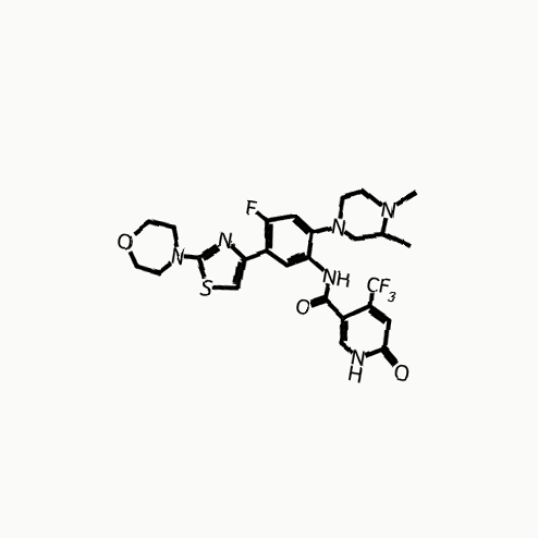 CC1CN(c2cc(F)c(-c3csc(N4CCOCC4)n3)cc2NC(=O)c2c[nH]c(=O)cc2C(F)(F)F)CCN1C